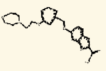 N=C(N)c1cc2ccc(OCc3cccc(OCCN4CCOCC4)c3)cc2s1